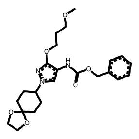 COCCCOc1nn(C2CCC3(CC2)OCCO3)cc1NC(=O)OCc1ccccc1